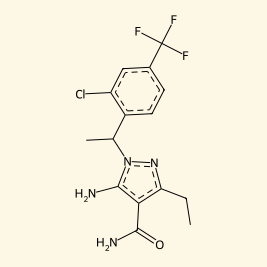 CCc1nn(C(C)c2ccc(C(F)(F)F)cc2Cl)c(N)c1C(N)=O